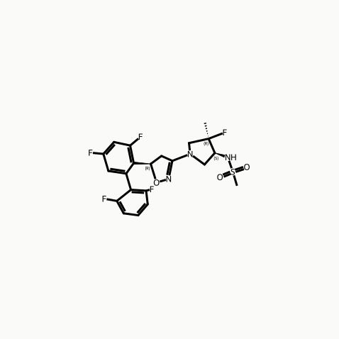 C[C@@]1(F)CN(C2=NO[C@@H](c3c(F)cc(F)cc3-c3c(F)cccc3F)C2)C[C@@H]1NS(C)(=O)=O